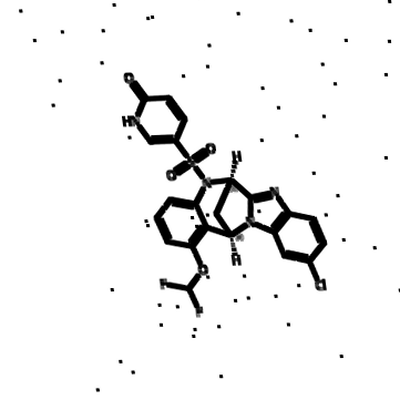 O=c1ccc(S(=O)(=O)N2c3cccc(OC(F)F)c3[C@H]3C[C@@H]2c2nc4ccc(Cl)cc4n23)c[nH]1